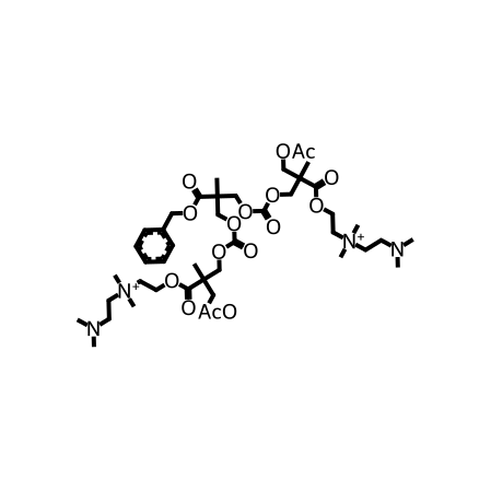 CC(=O)OCC(C)(COC(=O)OCC(C)(COC(=O)OCC(C)(COC(C)=O)C(=O)OCC[N+](C)(C)CCN(C)C)C(=O)OCc1ccccc1)C(=O)OCC[N+](C)(C)CCN(C)C